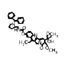 CCc1c2c(nc3ccc(OC(=O)NCC4CCCN4C(c4ccccc4)c4ccccc4)cc13)-c1cc([C@](O)(C=O)CC)c(COC)c(=O)n1C2